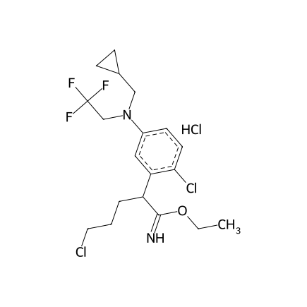 CCOC(=N)C(CCCCl)c1cc(N(CC2CC2)CC(F)(F)F)ccc1Cl.Cl